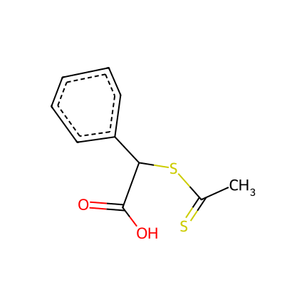 CC(=S)SC(C(=O)O)c1ccccc1